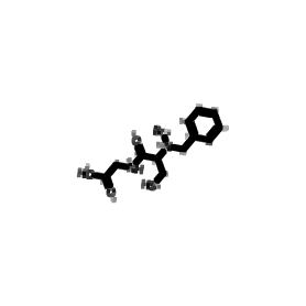 O=C(O)CNC(=O)C(CS)N(Br)Cc1ccccc1